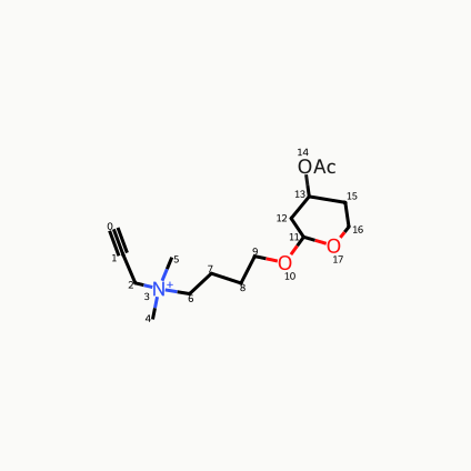 C#CC[N+](C)(C)CCCCOC1CC(OC(C)=O)CCO1